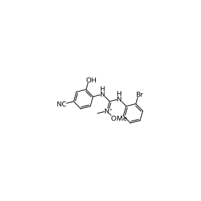 CO[N+](C)=C(Nc1ccc(C#N)cc1O)Nc1ccccc1Br